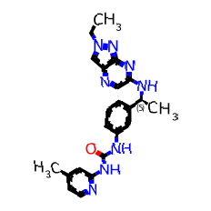 CCn1cc2ncc(N[C@@H](C)c3cccc(NC(=O)Nc4cc(C)ccn4)c3)nc2n1